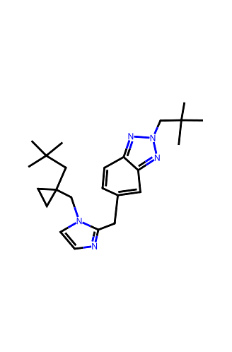 CC(C)(C)Cn1nc2ccc(Cc3nccn3CC3(CC(C)(C)C)CC3)cc2n1